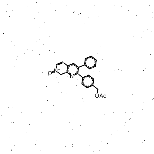 CC(=O)OCc1ccc(-c2nc3c(cc2-c2ccccc2)C=C[N+](=O)C3)cc1